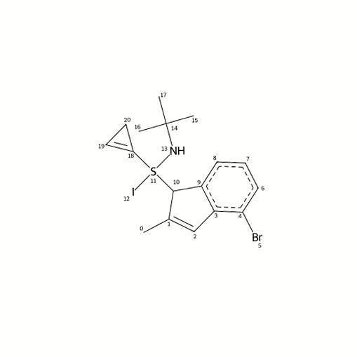 CC1=Cc2c(Br)cccc2C1S(I)(NC(C)(C)C)C1=CC1